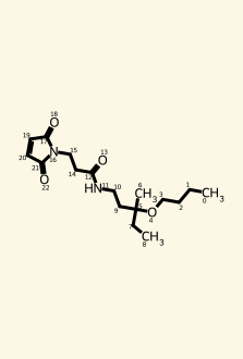 CCCCOC(C)(CC)CCNC(=O)CCN1C(=O)C=CC1=O